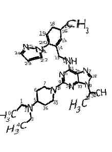 CCN(CC)C1CCN(c2nc(NCC3=CC(C)CC=C3n3cccn3)c3ncn(C(C)C)c3n2)CC1